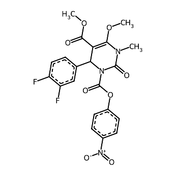 COC(=O)C1=C(OC)N(C)C(=O)N(C(=O)Oc2ccc([N+](=O)[O-])cc2)C1c1ccc(F)c(F)c1